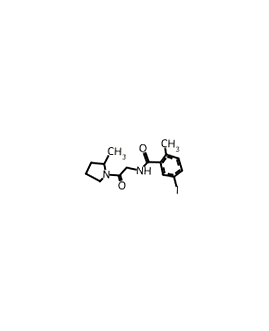 Cc1ccc(I)cc1C(=O)NCC(=O)N1CCCC1C